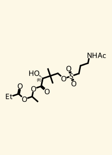 CCC(=O)OC(C)OC(=O)[C@H](O)C(C)(C)COS(=O)(=O)CCCNC(C)=O